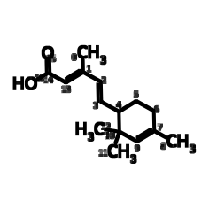 CC(C=CC1CCC(C)=CC1(C)C)=CC(=O)O